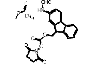 C.COC=O.O=CNc1ccc2c(c1)C(COC(=O)ON1C(=O)CCC1=O)c1ccccc1-2